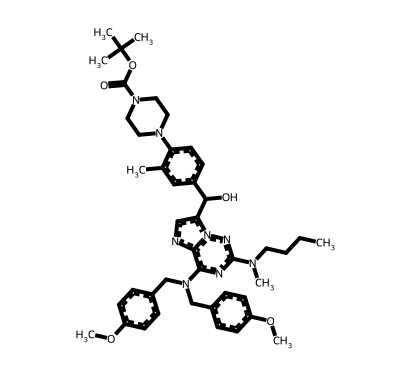 CCCCN(C)c1nc(N(Cc2ccc(OC)cc2)Cc2ccc(OC)cc2)c2ncc(C(O)c3ccc(N4CCN(C(=O)OC(C)(C)C)CC4)c(C)c3)n2n1